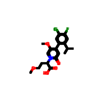 COCCC(C(=O)O)n1cc(OC)c(-c2cc(Cl)c(F)cc2C(C)C)cc1=O